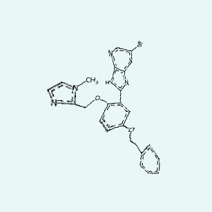 Cn1ccnc1COc1ccc(OCc2ccccc2)cc1-c1nc2cc(Br)cnc2[nH]1